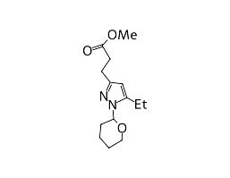 CCc1cc(CCC(=O)OC)nn1C1CCCCO1